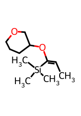 CC=C(OC1CCCOC1)[Si](C)(C)C